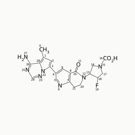 Cc1cc(-c2cnc3c(c2)C(=O)N(C2CN(C(=O)O)CC2F)CC3)n2ncnc(N)c12